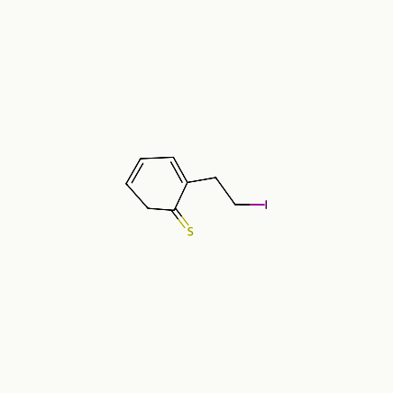 S=C1CC=CC=C1CCI